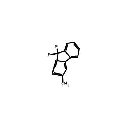 Cc1ccc2c(c1)-c1ccccc1C2(F)F